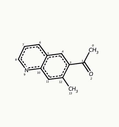 CC(=O)c1cc2cccnc2cc1C